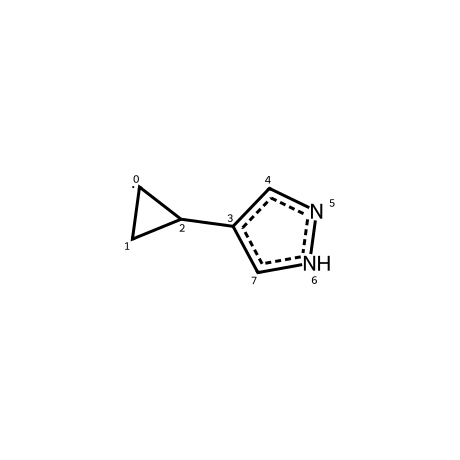 [CH]1CC1c1cn[nH]c1